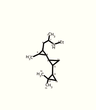 CCNC(C)CC1C(C)C1C1CC1C1CC1(C)C